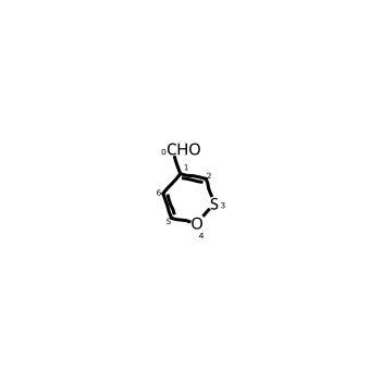 O=CC1=CSOC=C1